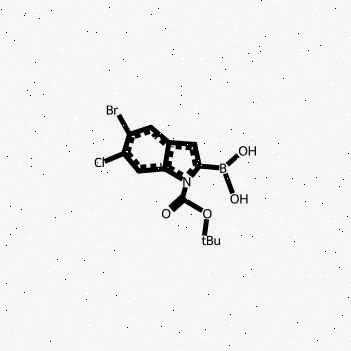 CC(C)(C)OC(=O)n1c(B(O)O)cc2cc(Br)c(Cl)cc21